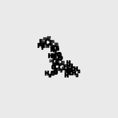 COC(=O)[C@@H]1C[C@H](NC(C)(C)C)CC[C@@H]1N1CCC(NC(=O)c2nc(-c3cccc(C(F)(F)F)c3)cs2)C1=O